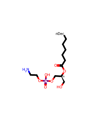 CCCCCCCCCCCCCCCC(=O)O[C@@H](CO)COP(=O)(O)OCCN